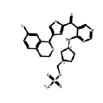 NS(=O)(=O)OC[C@@H]1CC[C@H](Nc2ncncc2C(=O)c2cc(C3OCCc4ccc(Cl)cc43)cs2)C1